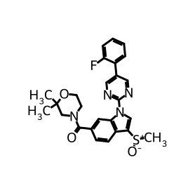 C[S+]([O-])c1cn(-c2ncc(-c3ccccc3F)cn2)c2cc(C(=O)N3CCOC(C)(C)C3)ccc12